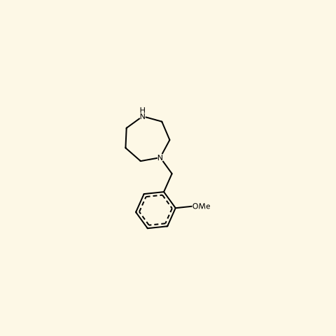 COc1ccccc1CN1CCCNCC1